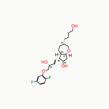 OCCCC[C@H]1CC[C@@H]2[C@@H](C=C[C@@H](O)COc3cc(F)ccc3F)[C@H](O)C[C@@H]2OC1